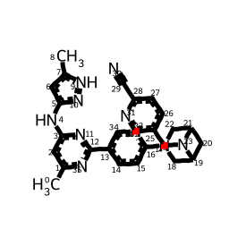 Cc1cc(Nc2cc(C)[nH]n2)nc(-c2ccc(N3CC4CC(C3)N4Cc3ccc(C#N)nc3)nc2)n1